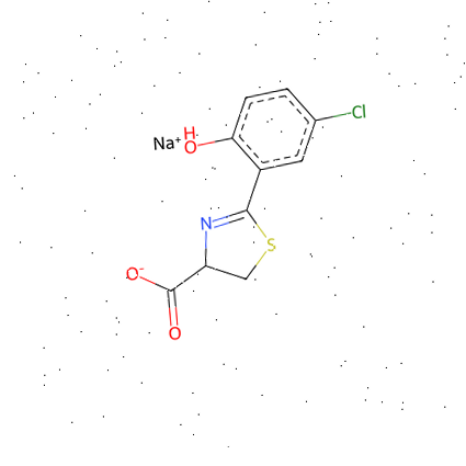 O=C([O-])C1CSC(c2cc(Cl)ccc2O)=N1.[Na+]